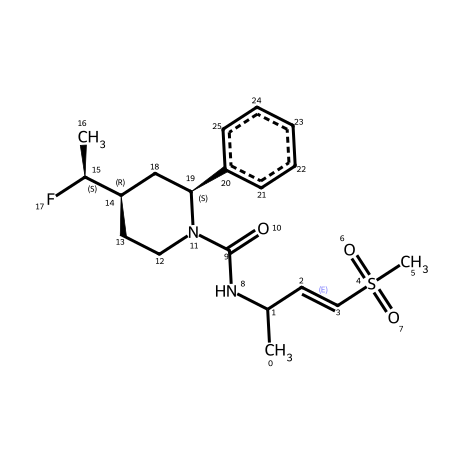 CC(/C=C/S(C)(=O)=O)NC(=O)N1CC[C@@H]([C@H](C)F)C[C@H]1c1ccccc1